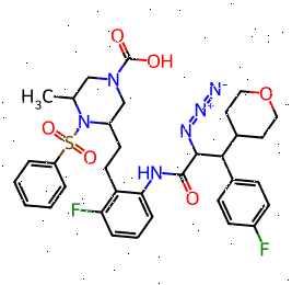 CC1CN(C(=O)O)CC(CCc2c(F)cccc2NC(=O)C(N=[N+]=[N-])C(c2ccc(F)cc2)C2CCOCC2)N1S(=O)(=O)c1ccccc1